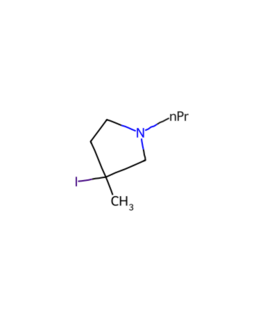 CCCN1CCC(C)(I)C1